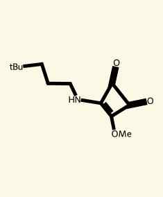 COc1c(NCCCC(C)(C)C)c(=O)c1=O